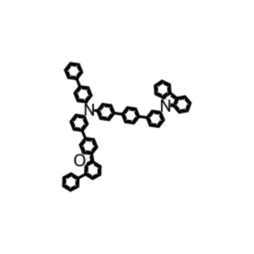 c1ccc(-c2ccc(N(c3ccc(-c4ccc(-c5cccc(-n6c7ccccc7c7ccccc76)c5)cc4)cc3)c3cccc(-c4ccc5c(c4)oc4c(-c6ccccc6)cccc45)c3)cc2)cc1